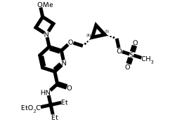 CCOC(=O)C(CC)(CC)NC(=O)c1ccc(N2CC(OC)C2)c(OC[C@@H]2C[C@@H]2COS(C)(=O)=O)n1